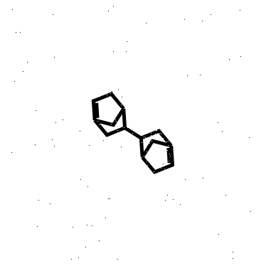 C1=C2CC(C1)C(C1CC3=CCC1C3)C2